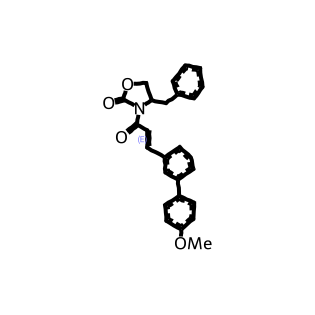 COc1ccc(-c2cccc(/C=C/C(=O)N3C(=O)OCC3Cc3ccccc3)c2)cc1